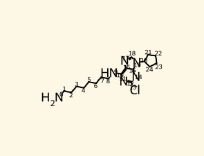 NCCCCCCCCNc1nc(Cl)nc2c1ncn2C1CCCC1